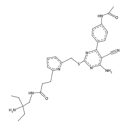 CCC(N)(CC)CNC(=O)CCc1cccc(CSc2nc(N)c(C#N)c(-c3ccc(NC(C)=O)cc3)n2)n1